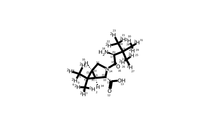 [2H]C([2H])([2H])C1(C([2H])([2H])[2H])[C@@H]2[C@@H](C(=O)O)N(C(=O)[C@@H](N)C(C([2H])([2H])[2H])(C([2H])([2H])[2H])C([2H])([2H])[2H])C[C@@H]21